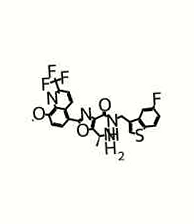 COc1ccc(-c2nc(C(=O)NCc3csc4ccc(F)cc34)c([C@H](C)N)o2)c2ccc(C(F)(F)F)nc12